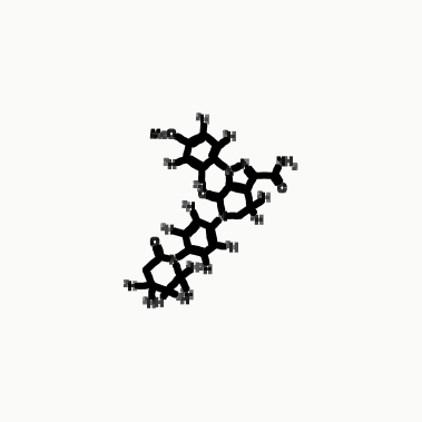 [2H]c1c([2H])c(-n2nc(C(N)=O)c3c2C(=O)N(c2c([2H])c([2H])c(N4C(=O)CC([2H])([2H])C([2H])([2H])C4([2H])[2H])c([2H])c2[2H])CC3([2H])[2H])c([2H])c([2H])c1OC